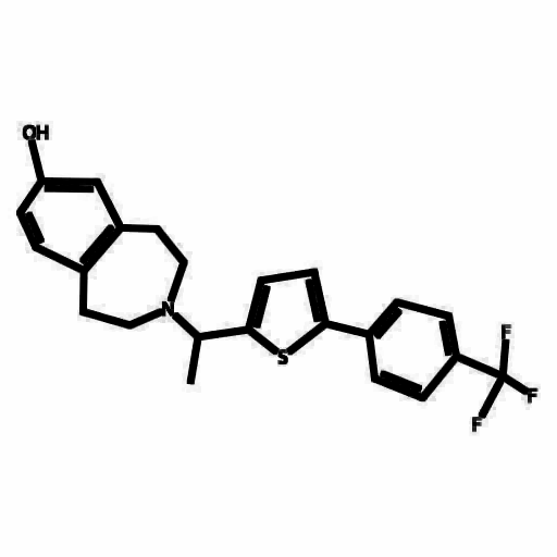 CC(c1ccc(-c2ccc(C(F)(F)F)cc2)s1)N1CCc2ccc(O)cc2CC1